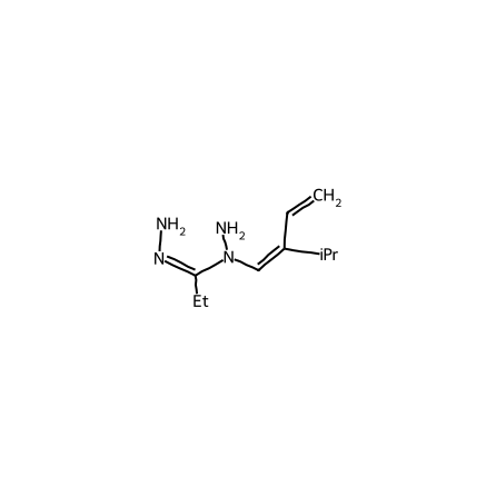 C=C/C(=C\N(N)/C(CC)=N\N)C(C)C